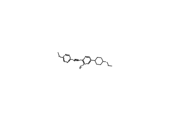 CCCC1CCC(c2ccc(C#Cc3ccc(CC)cc3)c(F)c2)CC1